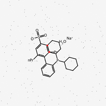 CCCc1cc(S(=O)(=O)[O-])cc(CCC)c1-c1ccccc1P(C1CCCCC1)C1CCCCC1.O.[Na+]